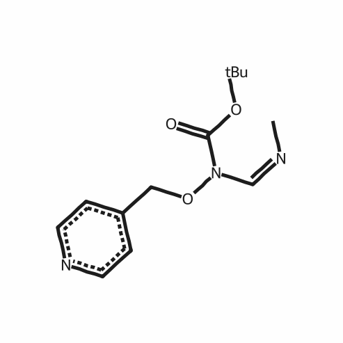 C/N=C\N(OCc1ccncc1)C(=O)OC(C)(C)C